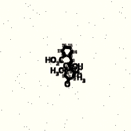 CC1=CC(=O)CC(C)(C)C1(O)/C=C/c1ccccc1C(=O)O